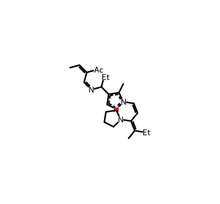 C/C=C(\C=N/C(CC)c1cnn(/C=C\C(=C(\C)CC)N2CCCC2)c1C)C(C)=O